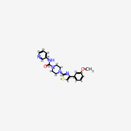 COc1cccc(-c2csc(N3CCN(C(=O)Nc4cccnc4)CC3)n2)c1